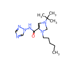 CCCCCN1CN(C(C)(C)C)C=C1C(=O)Nn1cncn1